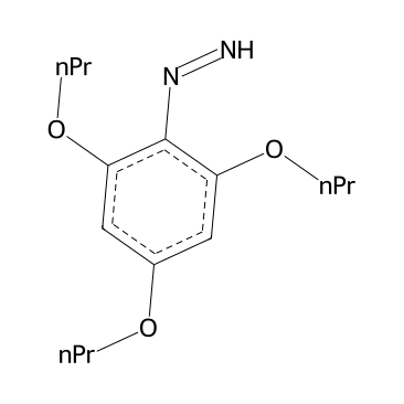 CCCOc1cc(OCCC)c(N=N)c(OCCC)c1